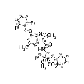 Cc1cc(OCc2c(F)cccc2F)c2nc(C)c(C(=O)NCC(C)(CF)N(Cc3ccccc3)C(=O)O)n2c1